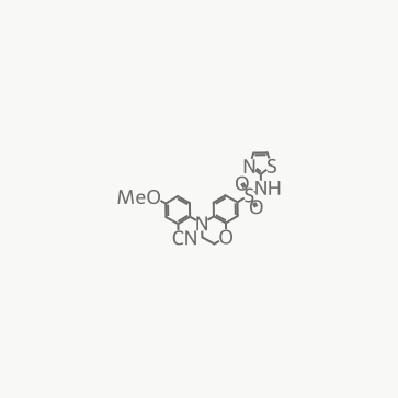 COc1ccc(N2CCOc3cc(S(=O)(=O)Nc4nccs4)ccc32)c(C#N)c1